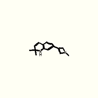 CN1CC(c2ccc3c(c2)NC(C)(C)C=C3)C1